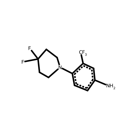 Nc1ccc(N2CCC(F)(F)CC2)c(C(F)(F)F)c1